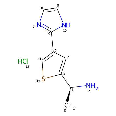 C[C@H](N)c1cc(-c2ncc[nH]2)cs1.Cl